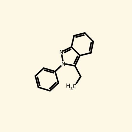 CCc1c2ccccc2nn1-c1ccccc1